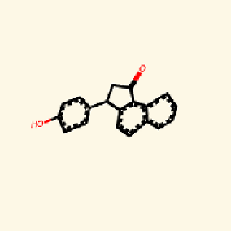 O=C1CC(c2ccc(O)cc2)c2ccc3ccccc3c21